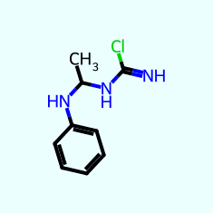 CC(NC(=N)Cl)Nc1ccccc1